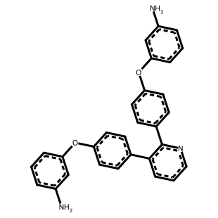 Nc1cccc(Oc2ccc(-c3cccnc3-c3ccc(Oc4cccc(N)c4)cc3)cc2)c1